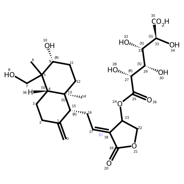 C=C1CC[C@@H]2C(C)(CO)[C@H](O)CC[C@@]2(C)[C@@H]1C/C=C1/C(=O)OCC1OC(=O)[C@H](O)[C@@H](O)[C@H](O)[C@H](O)C(=O)O